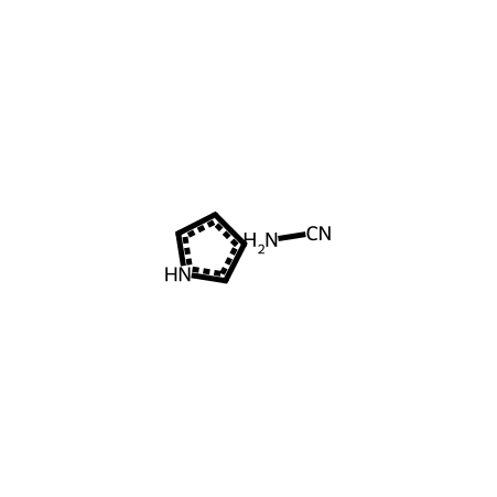 N#CN.c1cc[nH]c1